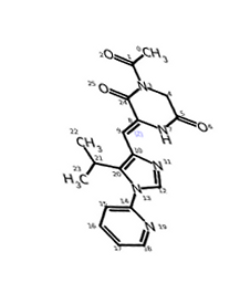 CC(=O)N1CC(=O)N/C(=C\c2ncn(-c3ccccn3)c2C(C)C)C1=O